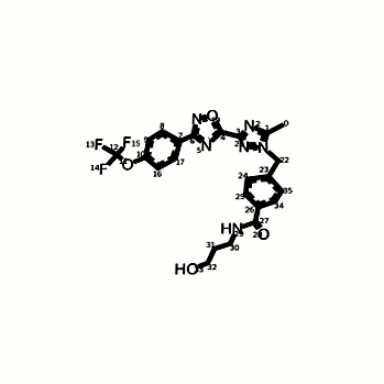 Cc1nc(-c2nc(-c3ccc(OC(F)(F)F)cc3)no2)nn1Cc1ccc(C(=O)NCCCO)cc1